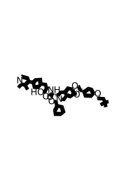 Cc1nccc(-c2ccc(CC(NC(=O)[C@@H]3Cc4cc5c(cc4CN3C(=O)c3ccccc3)O[C@@H](c3ccc(OCCC(C)(C)C)cc3)CO5)C(=O)O)cc2)c1C